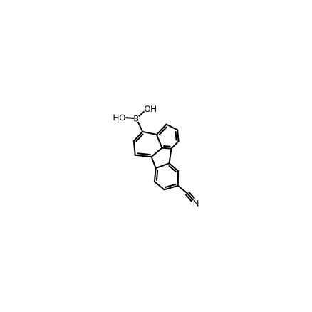 N#Cc1ccc2c(c1)-c1cccc3c(B(O)O)ccc-2c13